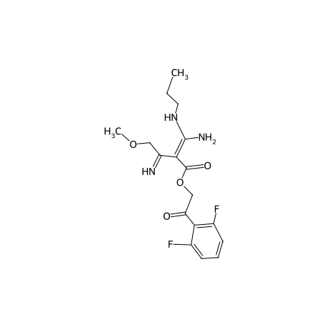 CCCN/C(N)=C(\C(=N)COC)C(=O)OCC(=O)c1c(F)cccc1F